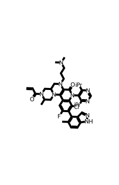 C=CC(=O)N1CC2CN(CCCN(C)C)c3c(c4cc(F)c(-c5c(C)ccc6[nH]ncc56)c(Cl)c4n(-c4c(C(C)C)ncnc4C(C)C)c3=O)N2CC1C